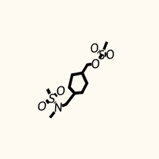 CN(CC1CCC(COS(C)(=O)=O)CC1)S(C)(=O)=O